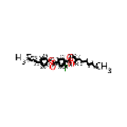 CCCCCCCC1COC(c2ccc(C(=O)Oc3ccc(CCCC)cc3)cc2F)OC1